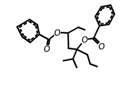 CCCC(CC(CC)OC(=O)c1ccccc1)(OC(=O)c1ccccc1)C(C)C